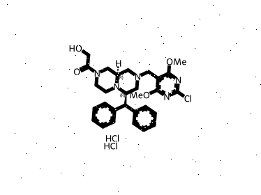 COc1nc(Cl)nc(OC)c1CN1C[C@@H]2CN(C(=O)CO)CCN2[C@H](C(c2ccccc2)c2ccccc2)C1.Cl.Cl